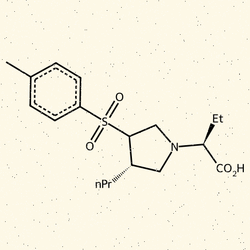 CCC[C@H]1CN([C@@H](CC)C(=O)O)CC1S(=O)(=O)c1ccc(C)cc1